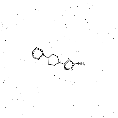 Nc1nc(N2CCC(c3ccccc3)CC2)cs1